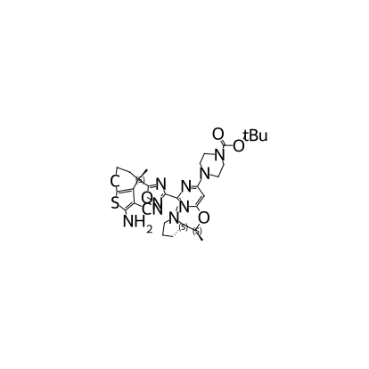 C[C@H](Oc1cc(N2CCN(C(=O)OC(C)(C)C)CC2)nc(-c2noc([C@@]3(C)CCCc4sc(N)c(C#N)c43)n2)n1)[C@@H]1CCCN1C